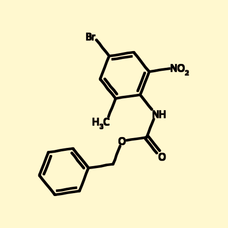 Cc1cc(Br)cc([N+](=O)[O-])c1NC(=O)OCc1ccccc1